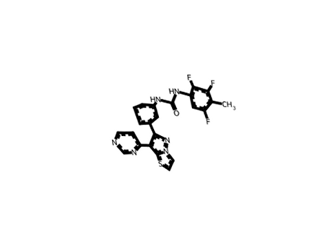 Cc1c(F)cc(NC(=O)Nc2cccc(-c3nn4ccsc4c3-c3ccncn3)c2)c(F)c1F